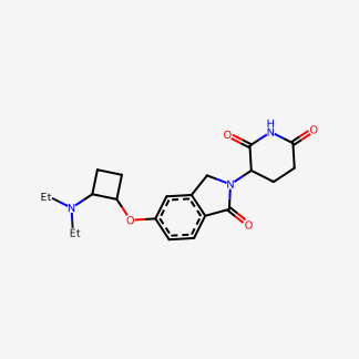 CCN(CC)C1CCC1Oc1ccc2c(c1)CN(C1CCC(=O)NC1=O)C2=O